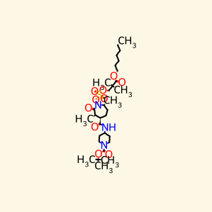 CCCCCCCOC(=O)C(C)(C)COS(=O)(=O)ON1C(=O)[C@H](C)[C@H](C(=O)NC2CCN(C(=O)OC(C)(C)C)CC2)CC[C@@H]1C